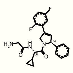 NCC(=O)N[C@H](C(=O)N1CC(c2cc(F)ccc2F)=C[C@H]1c1ccccc1)C1CC1